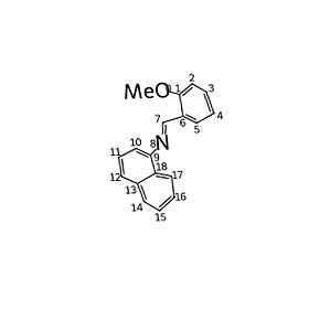 COc1ccccc1C=Nc1cccc2ccccc12